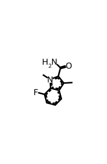 Cc1c(C(N)=O)n(C)c2c(F)cccc12